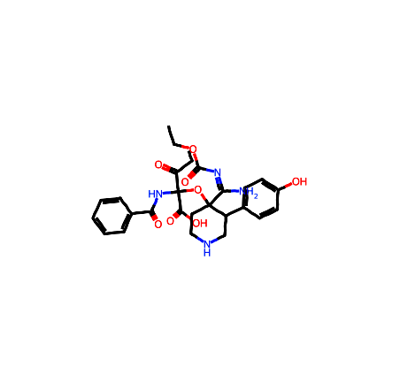 CCOC(=O)N=C(N)C1(OC(NC(=O)c2ccccc2)(C(=O)O)C(=O)CC)CCNCC1c1ccc(O)cc1